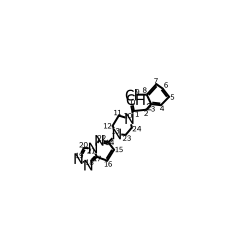 C=C(Cc1ccccc1Cl)N1CCN(c2ccc3nncn3n2)CC1